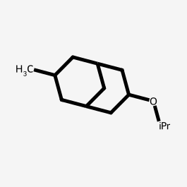 CC1CC2CC(C1)CC(OC(C)C)C2